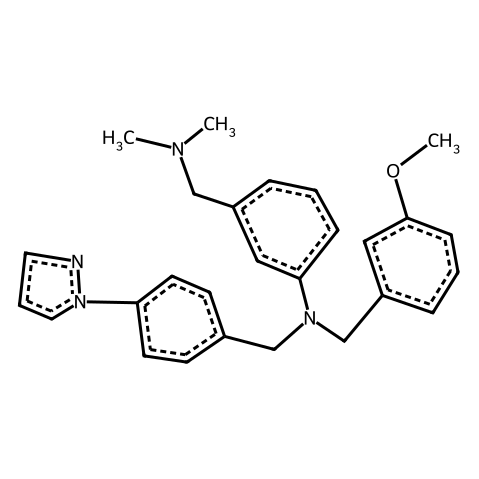 COc1cccc(CN(Cc2ccc(-n3cccn3)cc2)c2cccc(CN(C)C)c2)c1